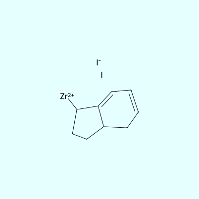 [I-].[I-].[Zr+2][CH]1CCC2CC=CC=C12